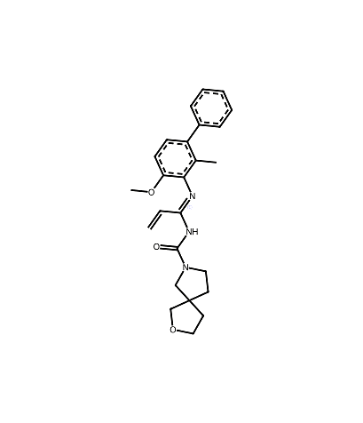 C=C/C(=N\c1c(OC)ccc(-c2ccccc2)c1C)NC(=O)N1CCC2(CCOC2)C1